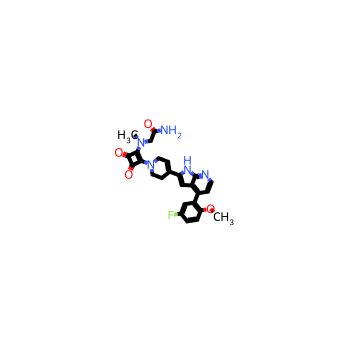 COc1ccc(F)cc1-c1ccnc2[nH]c(C3=CCN(c4c(N(C)CC(N)=O)c(=O)c4=O)CC3)cc12